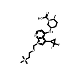 C[C@H]1CC[C@@H](Nc2ccnc3c2c(C2CC2(F)F)cn3COCC[Si](C)(C)C)CN1C(=O)O